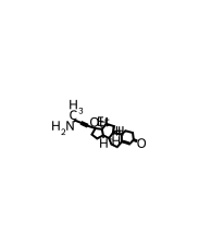 CC[C@]12CC[C@H]3[C@@H](CCC4=CC(=O)CC[C@@H]43)[C@@H]1CC[C@@]2(O)C#CC(C)N